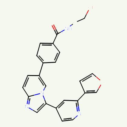 O=C(NCCO)c1ccc(-c2ccc3ncc(-c4ccnc(-c5ccoc5)c4)n3c2)cc1